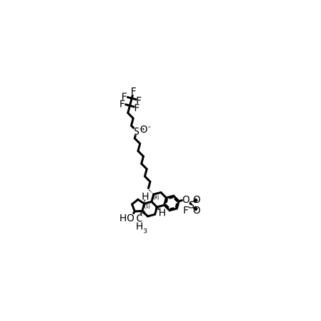 C[C@@]12CC[C@@H]3c4ccc(OS(=O)(=O)F)cc4C[C@@H](CCCCCCCCC[S+]([O-])CCCC(F)(F)C(F)(F)F)C3[C@@H]1CCC2O